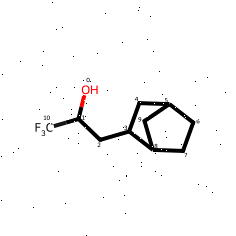 OC(CC1CC2CCC1C2)C(F)(F)F